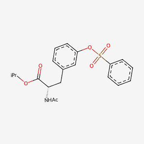 CC(=O)N[C@@H](Cc1cccc(OS(=O)(=O)c2ccccc2)c1)C(=O)OC(C)C